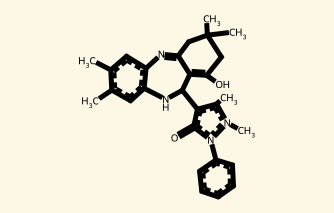 Cc1cc2c(cc1C)NC(c1c(C)n(C)n(-c3ccccc3)c1=O)C1=C(O)CC(C)(C)CC1=N2